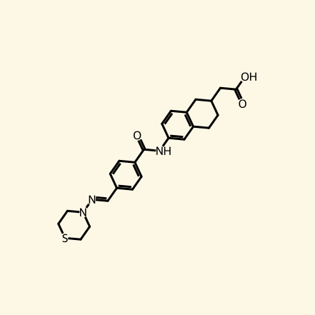 O=C(O)CC1CCc2cc(NC(=O)c3ccc(C=NN4CCSCC4)cc3)ccc2C1